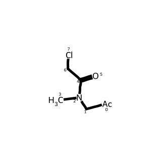 CC(=O)CN(C)C(=O)CCl